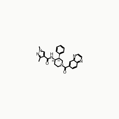 Cc1nn(C)cc1C(=O)N[C@@H]1CCN(C(=O)c2ccc3nccnc3c2)C[C@@H]1c1ccccc1